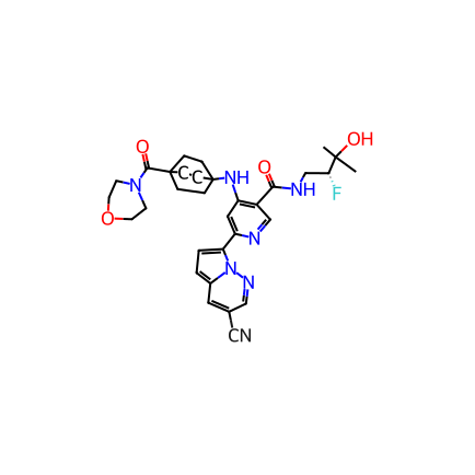 CC(C)(O)[C@H](F)CNC(=O)c1cnc(-c2ccc3cc(C#N)cnn23)cc1NC12CCC(C(=O)N3CCOCC3)(CC1)CC2